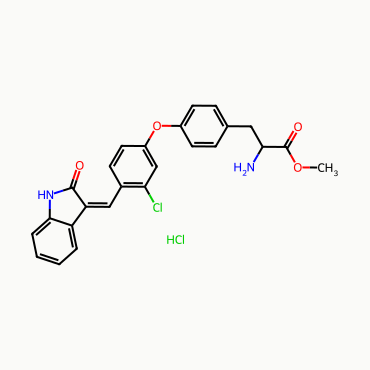 COC(=O)C(N)Cc1ccc(Oc2ccc(C=C3C(=O)Nc4ccccc43)c(Cl)c2)cc1.Cl